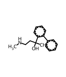 CNCCC(C)(O)c1ccccc1-c1ccccc1